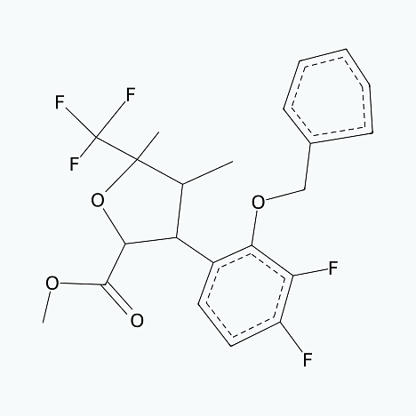 COC(=O)C1OC(C)(C(F)(F)F)C(C)C1c1ccc(F)c(F)c1OCc1ccccc1